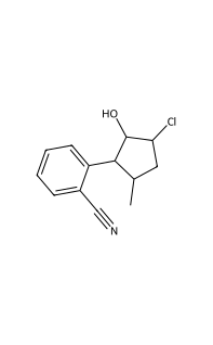 CC1CC(Cl)C(O)C1c1ccccc1C#N